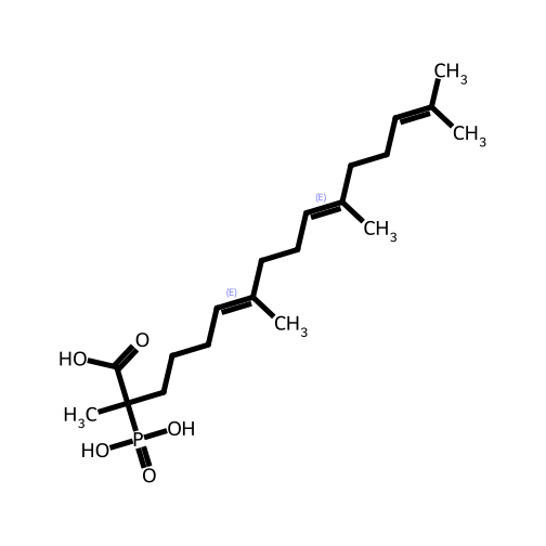 CC(C)=CCC/C(C)=C/CC/C(C)=C/CCCC(C)(C(=O)O)P(=O)(O)O